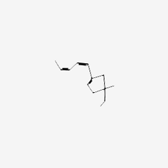 C/C=C\C=C/C1=CCC(C)(CC)C1